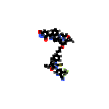 C[C@@H]1C[C@H](OCCC[C@H]2CC[C@H](N3C(=S)N(c4cnc(C#N)c(C(F)(F)F)c4)C(=O)C3(C)C)CC2)C[C@H](C)N1C(C=O)CNc1cccc2c(C3CCC(=O)NC3=O)nn(C)c12